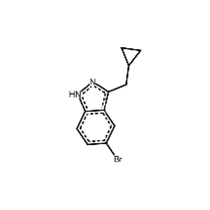 Brc1ccc2[nH]nc(CC3CC3)c2c1